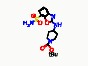 CC(C)(C)OC(=O)N1CCC(Nc2nc3cccc(S(N)(=O)=O)c3o2)CC1